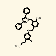 CCOC(=O)CCc1ccc(NCc2ccc(OCC(C)C)c(Cn3nc(-c4ccccc4)cc3-c3ccccc3)c2)cc1F